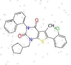 Cc1c(-c2ccccc2Cl)sc2c1c(=O)n(-c1cccc3ccccc13)c(=O)n2CC1CCCC1